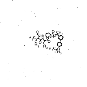 CC(C)Oc1ccc(-c2cccc([C@@H](C)OC(=O)C3CCCN(C(=O)C(C)NC(=O)C(NC=O)C(C)C)N3)c2)cc1